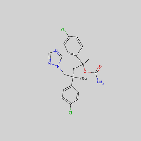 CCCCC(Cn1cncn1)(CC(C)(OC(N)=O)c1ccc(Cl)cc1)c1ccc(Cl)cc1